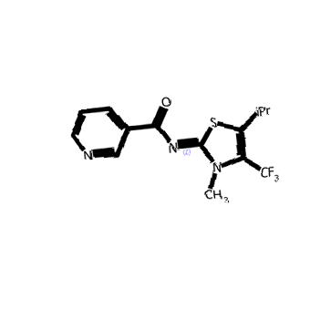 CC(C)c1s/c(=N\C(=O)c2cccnc2)n(C)c1C(F)(F)F